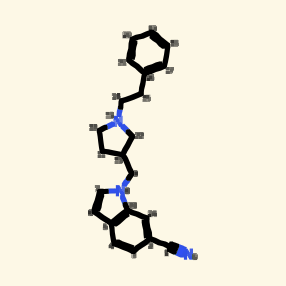 N#Cc1ccc2ccn(CC3CCN(CCc4ccccc4)C3)c2c1